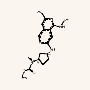 CCCCOC(=O)N(C)[C@@H]1CC[C@H](Nc2cc3c(NC(C)C)nc(C#N)cc3cn2)C1